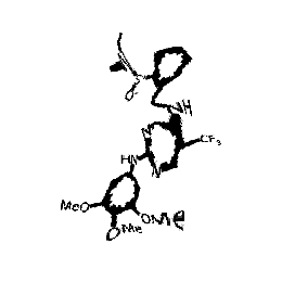 COc1cc(Nc2ncc(C(F)(F)F)c(NCc3ccccc3[S+]([O-])N(C)C)n2)cc(OC)c1OC